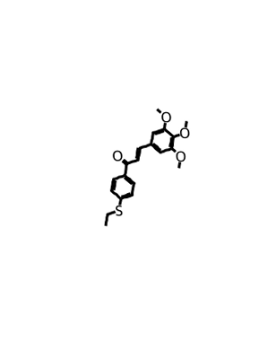 CCSc1ccc(C(=O)C=Cc2cc(OC)c(OC)c(OC)c2)cc1